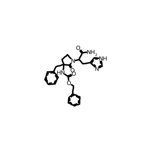 NC(=O)C(Cc1c[nH]cn1)N1CCC(Cc2ccccc2)(NC(=O)OCc2ccccc2)C1=O